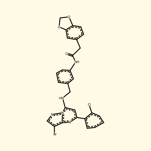 O=C(Cc1ccc2c(c1)OCO2)Nc1cccc(CNc2cc(-c3ccccc3Cl)nc3c(Br)cnn23)c1